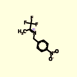 C/C(=N\Cc1ccc([N+](=O)[O-])cc1)C(F)(F)F